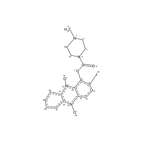 CN1CCN(C(=O)Oc2c(I)ccc3c2[n+]([O-])c2ccccc2[n+]3[O-])CC1